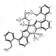 CCc1ccccc1-c1cccc2c1C=C1[CH]2[Hf]([CH3])([CH3])[CH]2C(=Cc3c(-c4ccccc4CC)cccc32)C1(C)CC(C)C